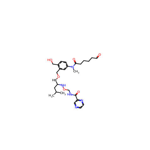 CC(C)CC(BOCc1cc(N(C)C(=O)CCCCC=O)ccc1CO)NOCNC(=O)c1cnccn1